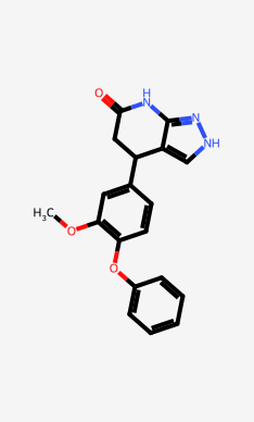 COc1cc(C2CC(=O)Nc3n[nH]cc32)ccc1Oc1ccccc1